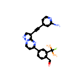 Nc1cc(C#Cc2cnn3ccc(-c4ccc(C=O)c(C(F)(P)P)c4)nc23)ccn1